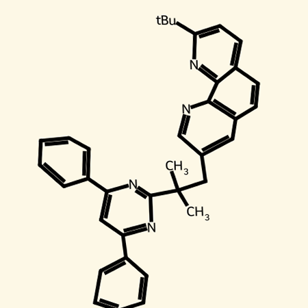 CC(C)(C)c1ccc2ccc3cc(CC(C)(C)c4nc(-c5ccccc5)cc(-c5ccccc5)n4)cnc3c2n1